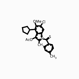 COc1c(Cl)cc2c(c(OC(C)=O)c(C)n2C(=S)c2ccc(C)cc2)c1C1CCCC1